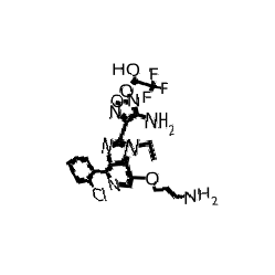 CCn1c(-c2nonc2N)nc2c(-c3ccccc3Cl)ncc(OCCCN)c21.O=C(O)C(F)(F)F